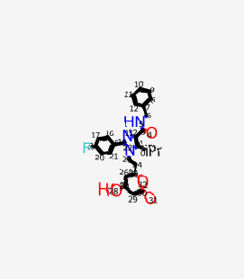 CC(C)c1c(C(=O)NCc2ccccc2)nc(-c2ccc(F)cc2)n1CC[C@@H]1C[C@@H](O)CC(=O)O1